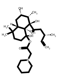 C=C[C@@H](C)CC(=O)[C@@]1(O)[C@@H](C)[C@@H](O)C[C@H]2C(C)(C)CC[C@@](O)(OC(=O)CN3CCCCC3)[C@@]21C